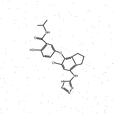 CC(C)NC(=O)c1cc(Oc2c(Cl)cc(Nc3nnn[nH]3)c3c2CCC3)ccc1O